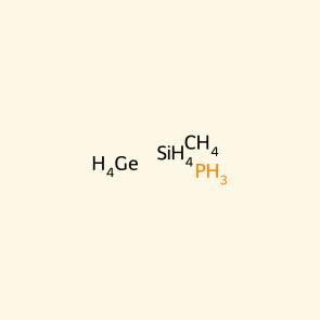 C.P.[GeH4].[SiH4]